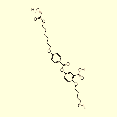 C=CC(=O)OCCCCCCOc1ccc(C(=O)Oc2ccc(OCCCCC)c(C(=O)O)c2)cc1